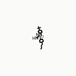 CCCCc1ccc(N(Cc2ccc(C(C)(C)C)cc2)C(=N)N)cc1